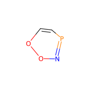 C1=CP=NOO1